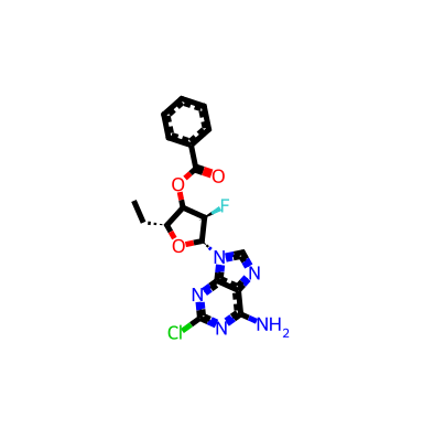 CC[C@H]1O[C@@H](n2cnc3c(N)nc(Cl)nc32)[C@H](F)C1OC(=O)c1ccccc1